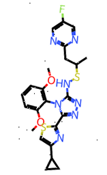 COc1cccc(OC)c1-n1c(NSC(C)Cc2ncc(F)cn2)nnc1-c1nc(C2CC2)cs1